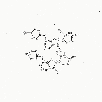 NC1CCN(Cc2cccc3c2CN(C2CCC(=O)NC2=O)C3=O)CC1.O=C1CCC(N2Cc3c(CN4CCNCC4)cccc3C2=O)C(=O)N1